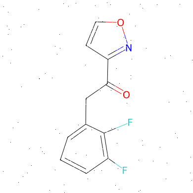 O=C(Cc1cccc(F)c1F)c1ccon1